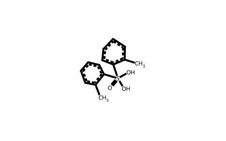 Cc1ccccc1S(=O)(O)(O)c1ccccc1C